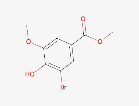 COC(=O)c1cc(Br)c(O)c(OC)c1